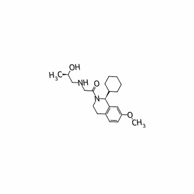 COc1ccc2c(c1)[C@H](C1CCCCC1)N(C(=O)CNC[C@@H](C)O)CC2